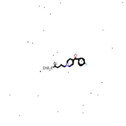 CCOC(=O)C(CCCN1CCC(C(=O)c2ccc(F)cc2)CC1)C(C)=O